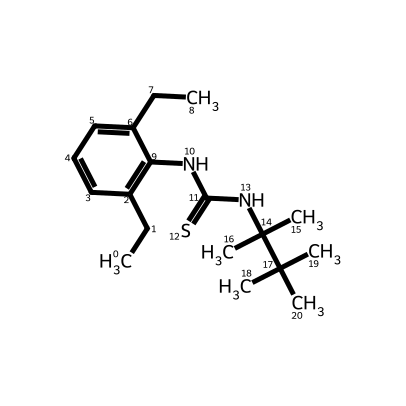 CCc1cccc(CC)c1NC(=S)NC(C)(C)C(C)(C)C